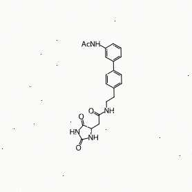 CC(=O)Nc1cccc(-c2ccc(CCNC(=O)CC3NC(=O)NC3=O)cc2)c1